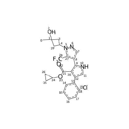 CC1(O)CC(n2ncc(-c3[nH]cc(-c4ccccc4Cl)c3C(=O)OC3CC3)c2C(F)(F)F)C1